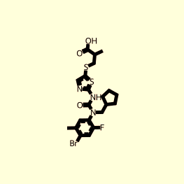 Cc1cc(N(CC2CCCC2)C(=O)Nc2ncc(SCC(C)C(=O)O)s2)c(F)cc1Br